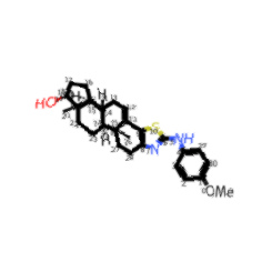 COc1ccc(Nc2nc3c(s2)C2=CC[C@H]4[C@@H]5CC[C@H](O)[C@@]5(C)CC[C@@H]4[C@@]2(C)CC3)cc1